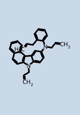 C=CCc1ccccc1N(CC=C)c1ccc2c(c1)c1c3ccccc3ccc1n2CC=C